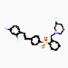 O=S(=O)(c1ccc(C=Cc2ccc(F)cc2F)cc1)c1ccccc1CN1CCCC(F)C1